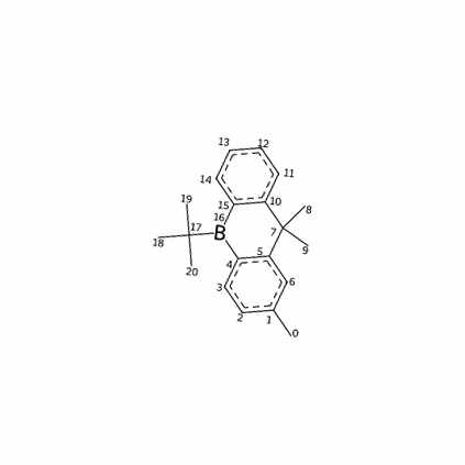 Cc1ccc2c(c1)C(C)(C)c1ccccc1B2C(C)(C)C